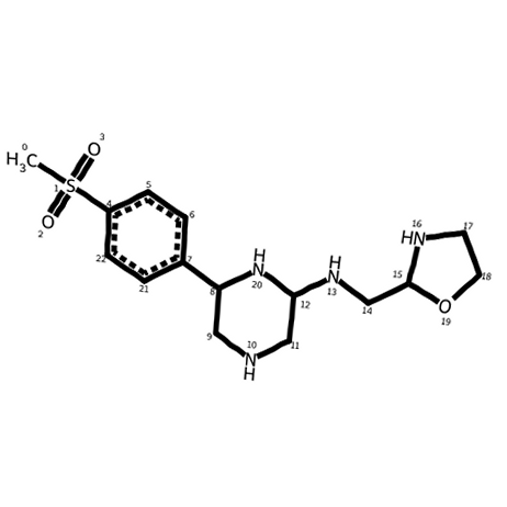 CS(=O)(=O)c1ccc(C2CNCC(NCC3NCCO3)N2)cc1